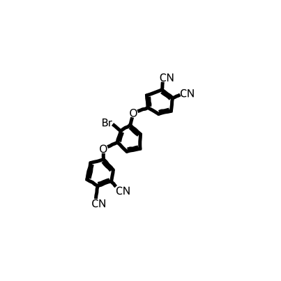 N#Cc1ccc(Oc2cccc(Oc3ccc(C#N)c(C#N)c3)c2Br)cc1C#N